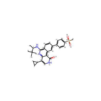 CC(Nc1nc2c(C3CC3)c[nH]c(=O)c2c2cc(-c3ccc(S(C)(=O)=O)cc3)ccc12)C(C)(C)C